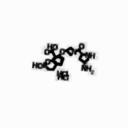 Cl.Cl.N[C@H]1CN[C@H](C(=O)N2CC(Oc3ccc4c(c3C(=O)O)OB(O)CC4)C2)C1